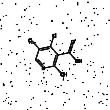 O=C(O)c1c(O)ncc(Cl)c1Cl